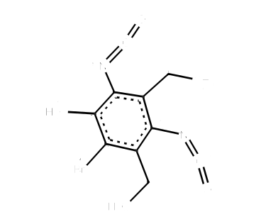 CCc1c(Br)c(C)c(N=C=O)c(CC)c1N=C=O